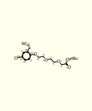 CC(C)(C)OC(=O)COCCOCCOc1ccc(Cl)cc1SC#N